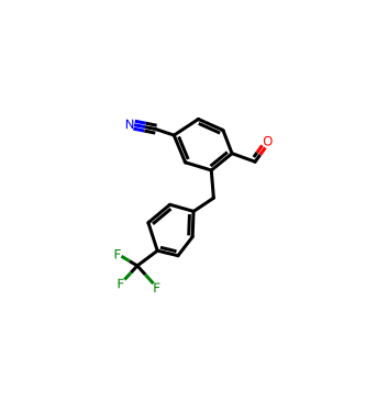 N#Cc1ccc(C=O)c(Cc2ccc(C(F)(F)F)cc2)c1